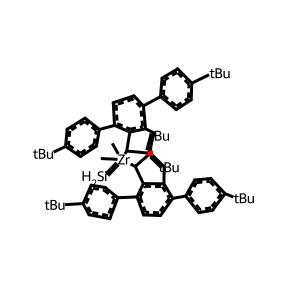 CC(C)(C)C1=Cc2c(-c3ccc(C(C)(C)C)cc3)ccc(-c3ccc(C(C)(C)C)cc3)c2[CH]1[Zr]([CH3])([CH3])(=[SiH2])[CH]1C(C(C)(C)C)=Cc2c(-c3ccc(C(C)(C)C)cc3)ccc(-c3ccc(C(C)(C)C)cc3)c21